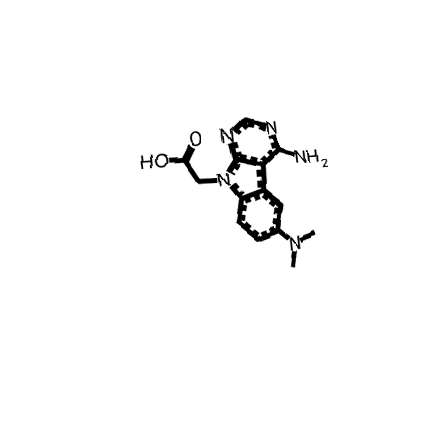 CN(C)c1ccc2c(c1)c1c(N)ncnc1n2CC(=O)O